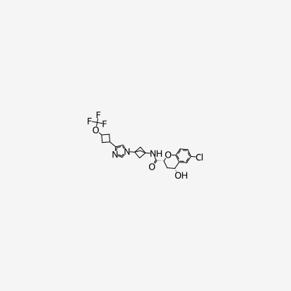 O=C(NC12CC(n3cnc(C4CC(OC(F)(F)F)C4)c3)(C1)C2)[C@H]1C[C@@H](O)c2cc(Cl)ccc2O1